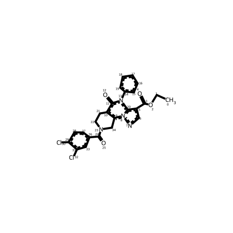 CCOC(=O)c1cnn2c3c(c(=O)n(-c4ccccc4)c12)CCN(C(=O)c1ccc(Cl)c(Cl)c1)C3